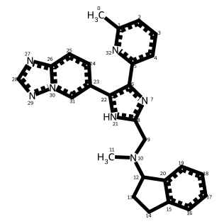 Cc1cccc(-c2nc(CN(C)C3CCc4ccccc43)[nH]c2-c2ccc3ncnn3c2)n1